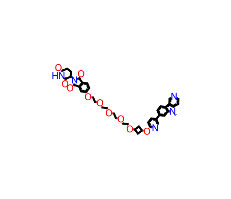 Cn1c2ccncc2c2ccc(-c3ccc(OC4CC(OCCOCCOCCOCCOc5ccc6c(c5)C(=O)N(C5CCC(=O)NC5=O)C6=O)C4)nc3)cc21